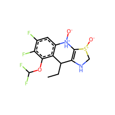 CCC1C2=C([NH+]([O-])c3cc(F)c(F)c(OC(F)F)c31)[S+]([O-])CN2